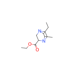 CCOC(=O)C1CN2CCN1C(C)C2CC